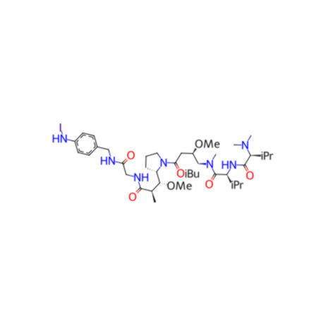 CC[C@H](C)[C@@H]([C@@H](CC(=O)N1CCC[C@H]1[C@H](OC)[C@@H](C)C(=O)NCC(=O)NCc1ccc(NI)cc1)OC)N(C)C(=O)[C@@H](NC(=O)[C@H](C(C)C)N(C)C)C(C)C